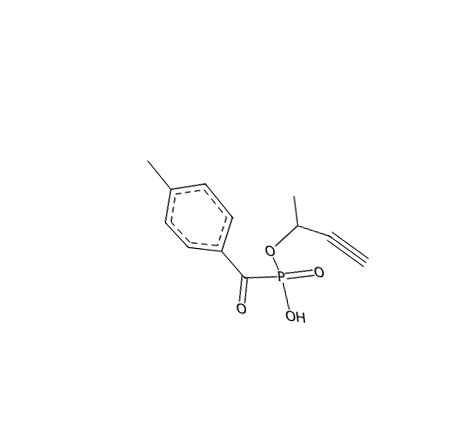 C#CC(C)OP(=O)(O)C(=O)c1ccc(C)cc1